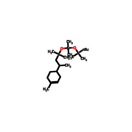 CCCC[Si](C)(C)O[Si](C)(C)O[Si](C)(C)CC(C)C1CC=C(C)CC1